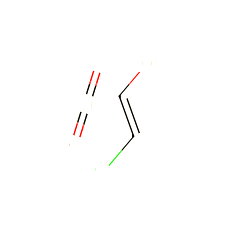 O=[Si]=O.OC=CCl